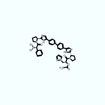 CCN(CC)[C@@H](C(=O)N1CCC[C@H]1c1ncc(-c2ccc(-c3ccc(-c4cnc([C@@H]5CCCN5C(=O)[C@H](Cn5cccn5)OC(N)=O)[nH]4)cc3)cc2)[nH]1)c1ccccc1